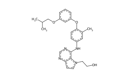 Cc1cc(Nc2ncnc3ccn(CCO)c23)ccc1Oc1cccc(OCC(C)C)c1